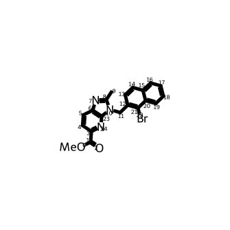 COC(=O)c1ccc2nc(C)n(Cc3ccc4ccccc4c3Br)c2n1